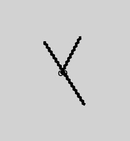 CCCCCCCCCCCCCCCCCCOC(=O)C(CCCCCCCCCCCCCCCC)CCCCCCCCCCCCCCCCCC